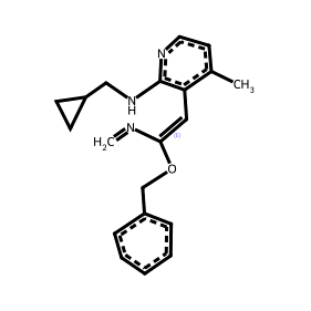 C=N/C(=C\c1c(C)ccnc1NCC1CC1)OCc1ccccc1